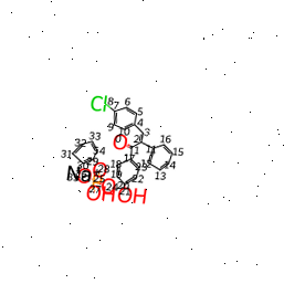 O=C(C(=Cc1ccc(Cl)cc1)c1ccccc1)c1ccc(O)cc1.O=P([O-])(O)Oc1ccccc1.[Na+]